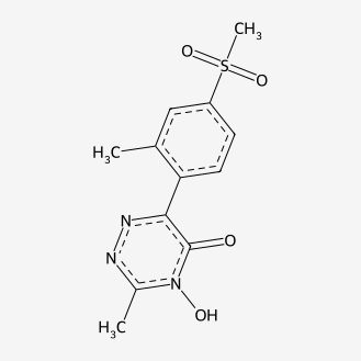 Cc1cc(S(C)(=O)=O)ccc1-c1nnc(C)n(O)c1=O